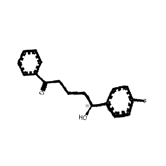 O=C(CCC[C@H](O)c1ccc(F)cc1)c1c[c]ccc1